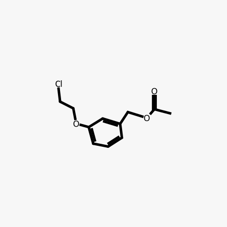 CC(=O)OCc1cccc(OCCCl)c1